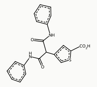 O=C(O)c1cc(C(C(=O)Nc2ccccc2)C(=O)Nc2ccccc2)cs1